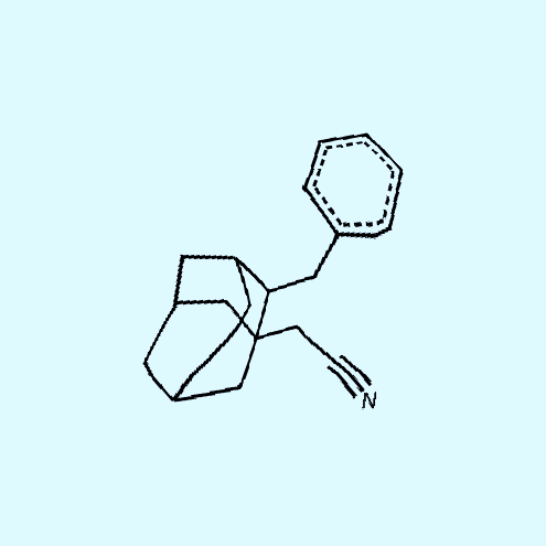 N#CCC12CC3CC(CC(C3)C1Cc1ccccc1)C2